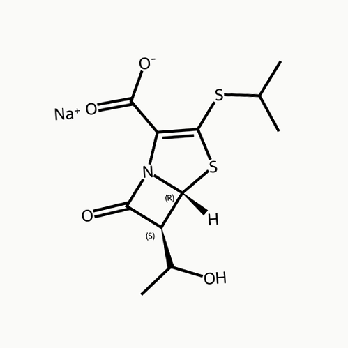 CC(C)SC1=C(C(=O)[O-])N2C(=O)[C@H](C(C)O)[C@H]2S1.[Na+]